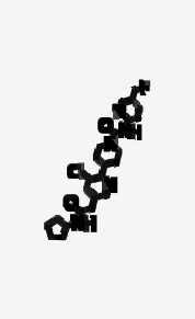 O=C(Cc1cnc(C2=CCN(C(=O)Nc3ccc(CF)cn3)CC2)c(Cl)c1)NC1CCCC1